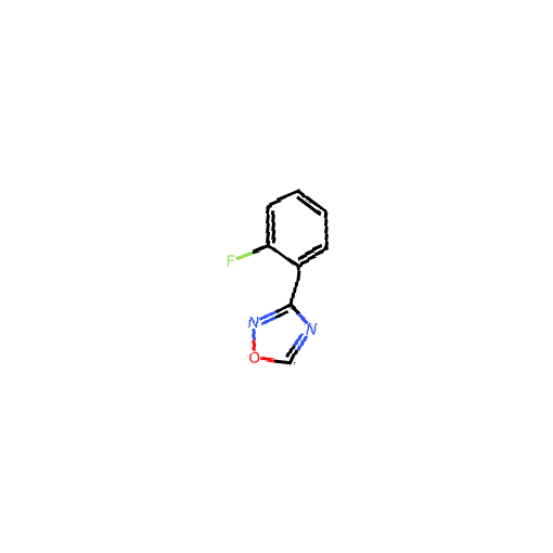 Fc1ccccc1-c1n[c]on1